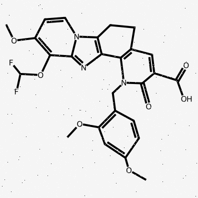 COc1ccc(Cn2c3c(cc(C(=O)O)c2=O)CCc2c-3nc3c(OC(F)F)c(OC)ccn23)c(OC)c1